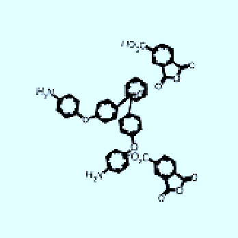 Nc1ccc(Oc2ccc(C3(c4ccc(Oc5ccc(N)cc5)cc4)Cc4ccc(cc4)C3)cc2)cc1.O=C(O)c1ccc2c(c1)C(=O)OC2=O.O=C(O)c1ccc2c(c1)C(=O)OC2=O